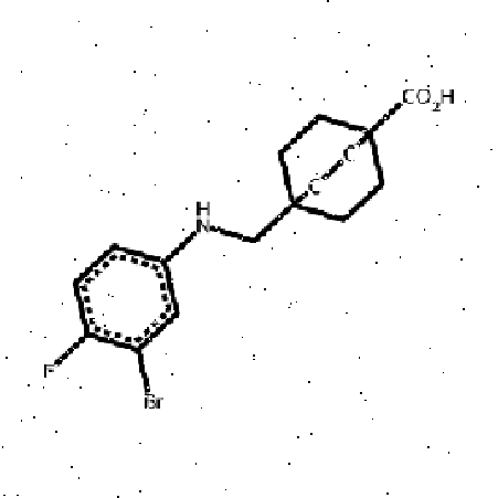 O=C(O)C12CCC(CNc3ccc(F)c(Br)c3)(CC1)CC2